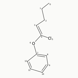 CCCC=C(Cl)Oc1ccccc1